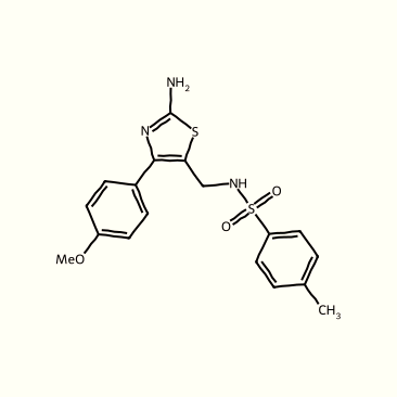 COc1ccc(-c2nc(N)sc2CNS(=O)(=O)c2ccc(C)cc2)cc1